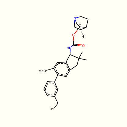 COc1cc2c(cc1-c1cccc(CC(C)C)c1)CC(C)(C)C2NC(=O)O[C@H]1CN2CCC1CC2